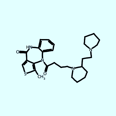 Cc1scc2c1N(C(=O)CCCN1CCCCC1CCN1CCCCC1)c1ccccc1NC2=O